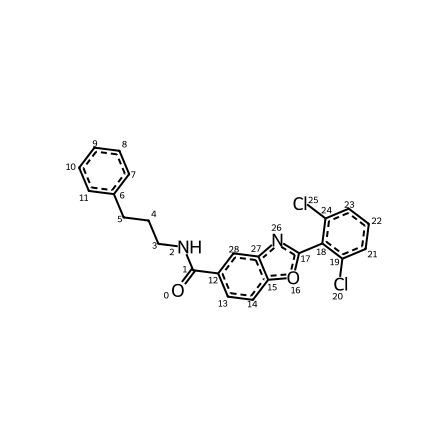 O=C(NCCCc1ccccc1)c1ccc2oc(-c3c(Cl)cccc3Cl)nc2c1